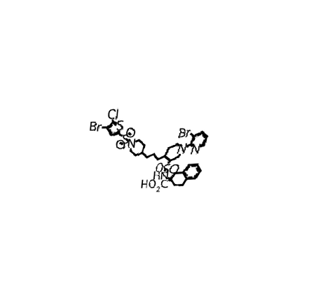 O=C(O)C1(NS(=O)(=O)C2CN(c3ncccc3Br)CCC2CCCC2CCN(S(=O)(=O)c3cc(Br)c(Cl)s3)CC2)CCc2ccccc2C1